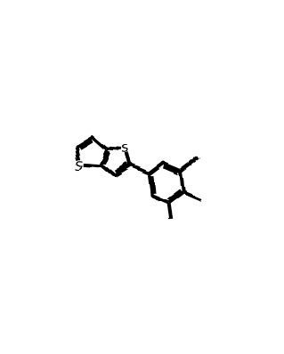 Cc1cc(-c2cc3sccc3s2)cc(C)c1C